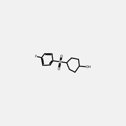 O=S(=O)(c1ccc(F)cc1)C1CCC(O)CC1